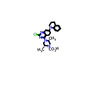 C[C@@H]1CN(c2nc(Cl)nc3c2CCC(N2CCCc4ccccc42)=C3)[C@@H](C)CN1C(=O)O